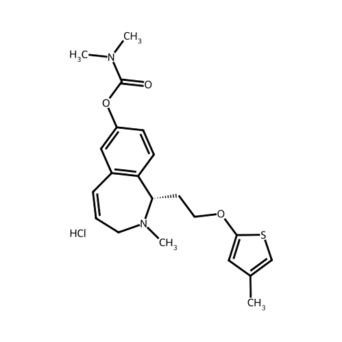 Cc1csc(OCC[C@H]2c3ccc(OC(=O)N(C)C)cc3C=CCN2C)c1.Cl